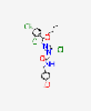 CCCCOC(C[n+]1ccn(CC(=O)NCc2ccc(OC)cc2)c1)c1ccc(Cl)cc1Cl.[Cl-]